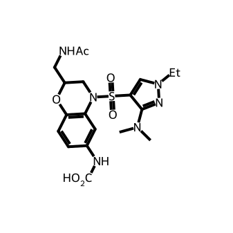 CCn1cc(S(=O)(=O)N2CC(CNC(C)=O)Oc3ccc(NC(=O)O)cc32)c(N(C)C)n1